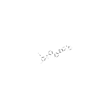 Cc1c(-c2nc3c(o2)CN(C(=O)[C@@H]2CCCN2C)C3)cccc1-c1cccc(-c2nc3cc(CO)cc(C#N)c3o2)c1C